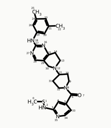 CSNc1cc(C(=O)N2CCC(N3CCc4nc(Nc5cc(C)cc(C)c5)ncc4C3)CC2)ccn1